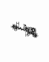 CCOC(=O)[C@H](CCCCCNC(=O)OC(C)(C)C)NC1COc2ccccc2N(CC(=O)OC(C)(C)C)C1=O